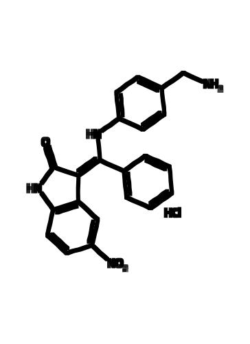 Cl.NCc1ccc(N/C(=C2\C(=O)Nc3ccc([N+](=O)[O-])cc32)c2ccccc2)cc1